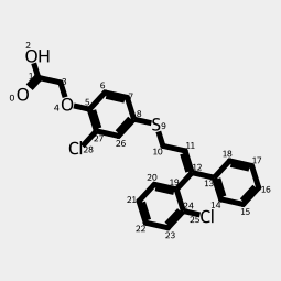 O=C(O)COc1ccc(SCC=C(c2ccccc2)c2ccccc2Cl)cc1Cl